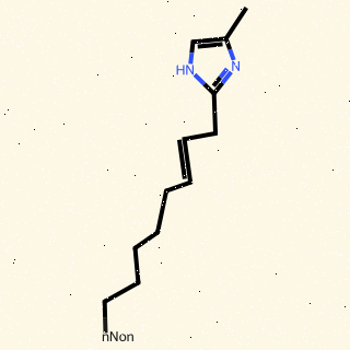 CCCCCCCCCCCCCCC=CCc1nc(C)c[nH]1